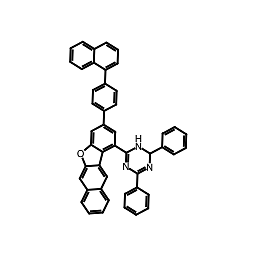 c1ccc(C2=NC(c3ccccc3)NC(c3cc(-c4ccc(-c5cccc6ccccc56)cc4)cc4oc5cc6ccccc6cc5c34)=N2)cc1